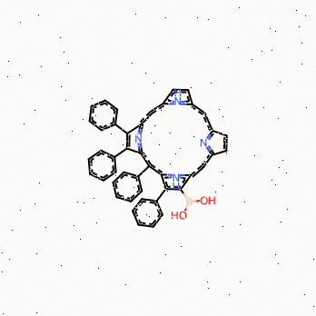 OB(O)c1c(-c2ccccc2)c2[nH]c1cc1nc(cc3ccc(cc4nc(c2-c2ccccc2)C(c2ccccc2)=C4c2ccccc2)[nH]3)C=C1